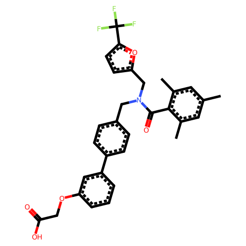 Cc1cc(C)c(C(=O)N(Cc2ccc(-c3cccc(OCC(=O)O)c3)cc2)Cc2ccc(C(F)(F)F)o2)c(C)c1